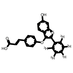 [2H]c1c([2H])c([2H])c(-c2sc3cc(O)ccc3c2Oc2ccc(/C=C/C(=O)O)cc2)c([2H])c1[2H]